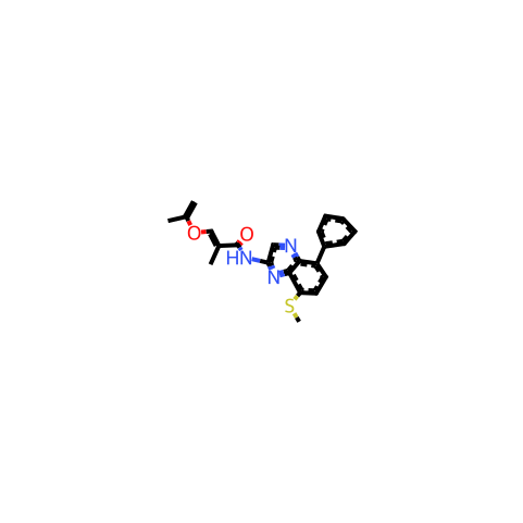 C=C(C)O/C=C(\C)C(=O)Nc1cnc2c(-c3ccccc3)ccc(SC)c2n1